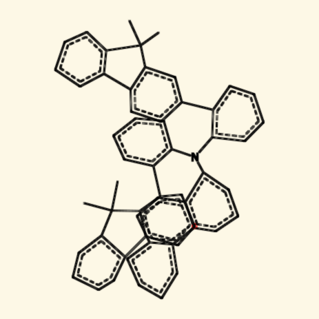 CC1(C)c2ccccc2-c2ccc(-c3ccccc3N(c3ccccc3-c3cccc4c3C(C)(C)c3ccccc3-4)c3cccc4c3ccc3ccccc34)cc21